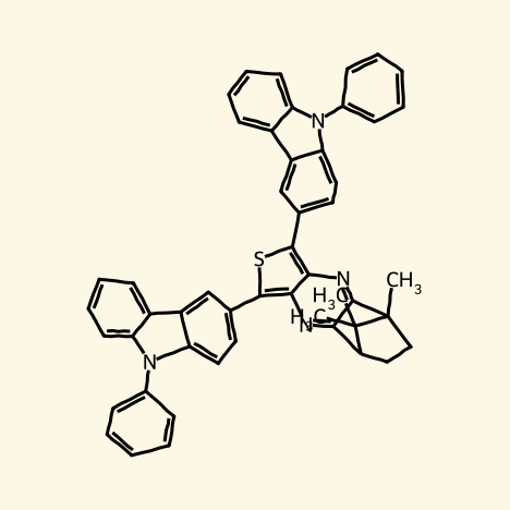 CC12CCC(c3nc4c(-c5ccc6c(c5)c5ccccc5n6-c5ccccc5)sc(-c5ccc6c(c5)c5ccccc5n6-c5ccccc5)c4nc31)C2(C)C